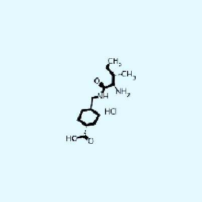 CC[C@H](C)[C@H](N)C(=O)NC[C@H]1CC[C@H](C(=O)O)CC1.Cl